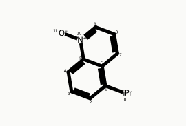 CC(C)c1cccc2c1ccc[n+]2[O-]